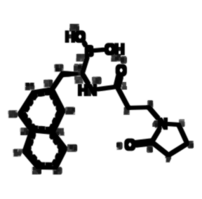 O=C(CCN1CCCC1=O)N[C@@H](Cc1ccc2ccccc2c1)B(O)O